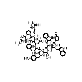 CC(C)C[C@H](NC(=O)[C@@H](Cc1ccccc1)NC(=O)[C@H](Cc1ccc(O)cc1)NC(=O)[C@H](CO)NC(=O)[C@H](Cc1c[nH]c2ccccc12)NC(=O)[C@@H](Cc1c[nH]c2ccccc12)NC(=O)[C@@H]1CCC(=O)N1)C(=O)N[C@@H](CCCNC(=N)N)C(=O)N1CCC[C@H]1C(=O)NNC(N)=O